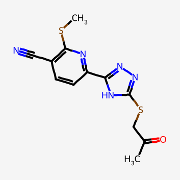 CSc1nc(-c2nnc(SCC(C)=O)[nH]2)ccc1C#N